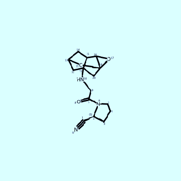 N#C[C@@H]1CCCN1C(=O)CNC12CC3CC1C1OC1(C3)C2